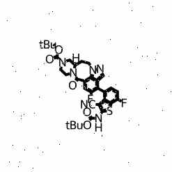 CC(C)(C)OC(=O)Nc1sc2c(F)ccc(-c3c(F)cc4c5c3cnn5CC[C@H]3CN(C(=O)OC(C)(C)C)CCN3C4=O)c2c1C#N